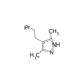 Cc1n[nH]c(C)c1CCC(C)C